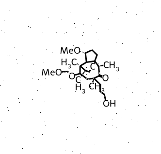 COCOC1C[C@@](C)(CCCO)C(=O)[C@H](C)C23CC[C@@H](C)[C@]1(C)C2[C@H](OC)CC3